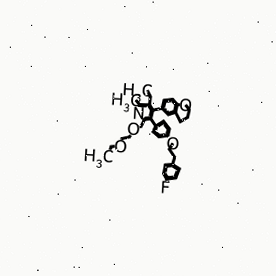 CCOCCOCc1nc(C)c(CC)c(-c2ccc3c(c2)CCCO3)c1-c1ccc(OCCc2ccc(F)cc2)cc1